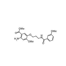 COC(=O)c1cc(OCCCNC(=O)c2cccc(OC)c2)c(OC)cc1N